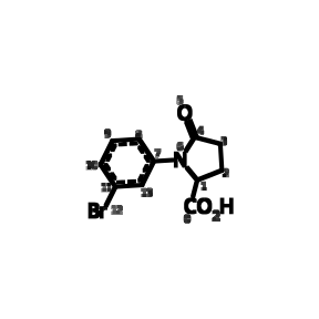 O=C(O)C1CCC(=O)N1c1cccc(Br)c1